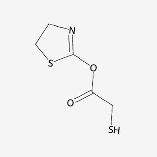 O=C(CS)OC1=NCCS1